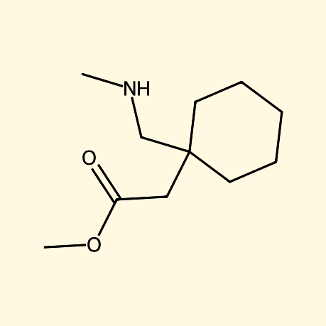 CNCC1(CC(=O)OC)CCCCC1